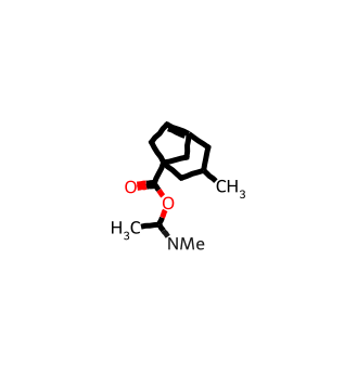 CNC(C)OC(=O)C12CC=C(CC(C)C1)C2